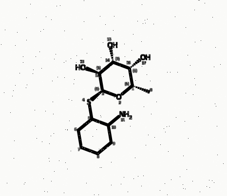 C[C@@H]1O[C@@H](SC2CCCCC2N)[C@@H](O)[C@H](O)[C@@H]1O